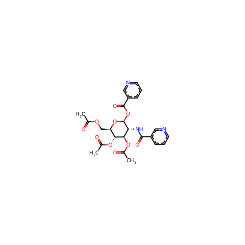 CC(=O)OC[C@H]1O[C@@H](OC(=O)c2cccnc2)[C@H](NC(=O)c2cccnc2)[C@@H](OC(C)=O)[C@@H]1OC(C)=O